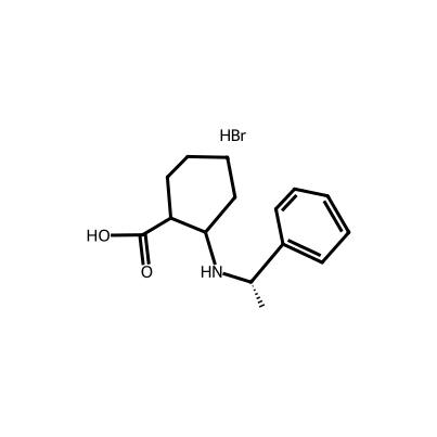 Br.C[C@H](NC1CCCCC1C(=O)O)c1ccccc1